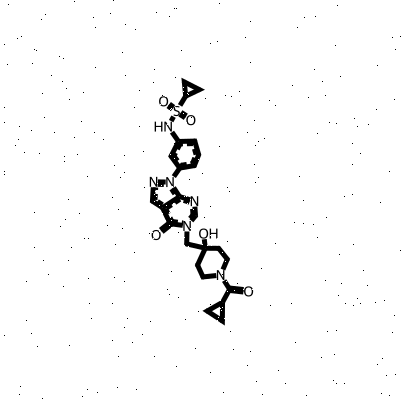 O=C(C1CC1)N1CCC(O)(Cn2cnc3c(cnn3-c3cccc(NS(=O)(=O)C4CC4)c3)c2=O)CC1